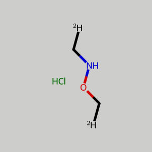 Cl.[2H]CNOC[2H]